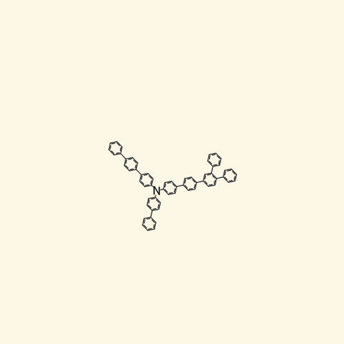 c1ccc(-c2ccc(-c3ccc(N(c4ccc(-c5ccccc5)cc4)c4ccc(-c5ccc(-c6ccc(-c7ccccc7)c(-c7ccccc7)c6)cc5)cc4)cc3)cc2)cc1